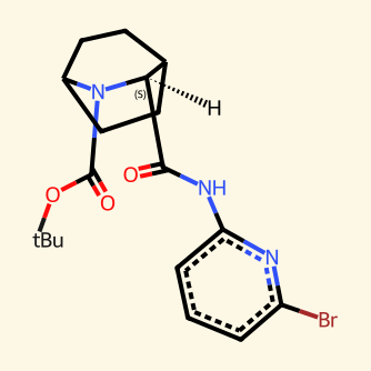 CC(C)(C)OC(=O)N1C2CCC(CC2)[C@H]1C(=O)Nc1cccc(Br)n1